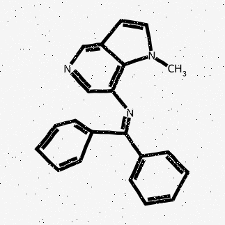 Cn1ccc2cncc(N=C(c3ccccc3)c3ccccc3)c21